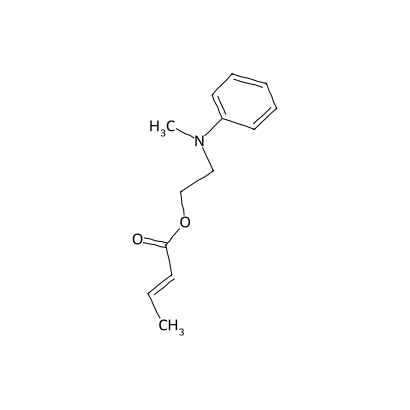 CC=CC(=O)OCCN(C)c1ccccc1